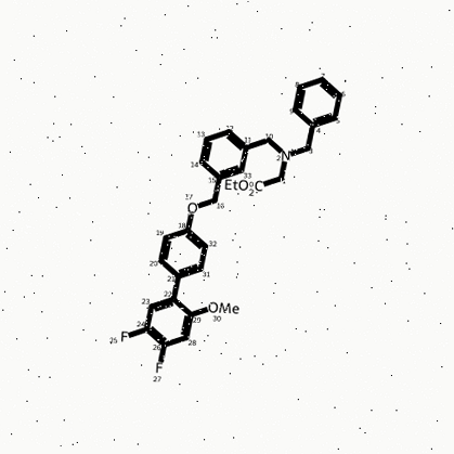 CCOC(=O)CN(Cc1ccccc1)Cc1cccc(COc2ccc(-c3cc(F)c(F)cc3OC)cc2)c1